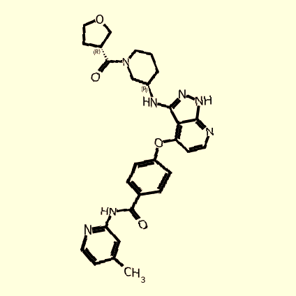 Cc1ccnc(NC(=O)c2ccc(Oc3ccnc4[nH]nc(N[C@@H]5CCCN(C(=O)[C@@H]6CCOC6)C5)c34)cc2)c1